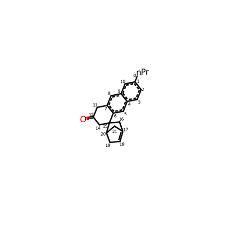 CCCc1ccc2cc3c(cc2c1)CC(=O)CC31CC2=CCC1C2